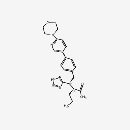 CCC[C@H](C(C)=O)[C@H](Cc1ccc(-c2ccc(N3CCOCC3)nc2)cc1)c1nn[nH]n1